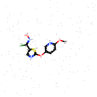 CC(C)Oc1ccc(Oc2ncc(C(Cl)=NO)s2)cn1